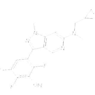 CN(CC1CC1)c1cc2c(cn1)c(-c1cc(C(F)(F)F)c(F)c(O)c1F)nn2C